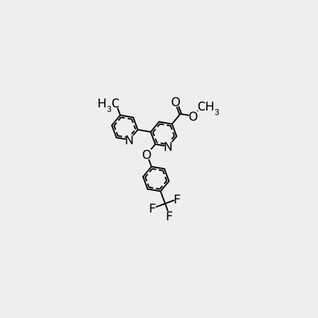 COC(=O)c1cnc(Oc2ccc(C(F)(F)F)cc2)c(-c2cc(C)ccn2)c1